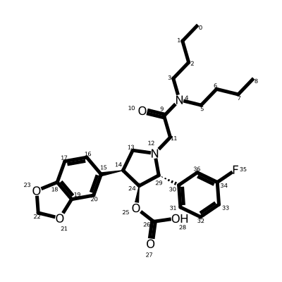 CCCCN(CCCC)C(=O)CN1C[C@H](c2ccc3c(c2)OCO3)[C@H](OC(=O)O)[C@H]1c1cccc(F)c1